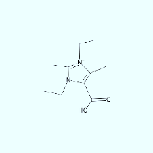 CCn1c(C(=O)O)c(C)[n+](CC)c1C